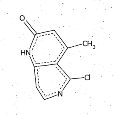 Cc1cc(=O)[nH]c2ccnc(Cl)c12